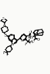 O=C(NC1(C(=O)O)C2CC3CC(C2)CC1C3)c1ccc(-c2cn(C3CCC(F)(F)CC3)c3cc(OC4CCN(C5COC5)CC4)ccc23)nc1C(F)(F)F